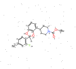 CC(C)(C)OC(=O)N1CCC(c2cccc3c2OC(C)(c2ccc(C#N)cc2F)O3)CC1